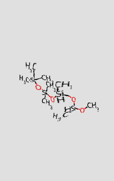 CO[SiH](C)O[SiH](C)O[Si](C)(C)O[Si](C)(C)C